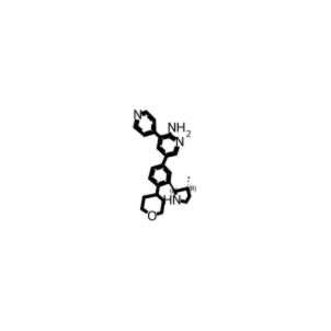 C[C@@H]1CCN[C@H]1c1cc(-c2cnc(N)c(-c3ccncc3)c2)ccc1C1CCOCC1